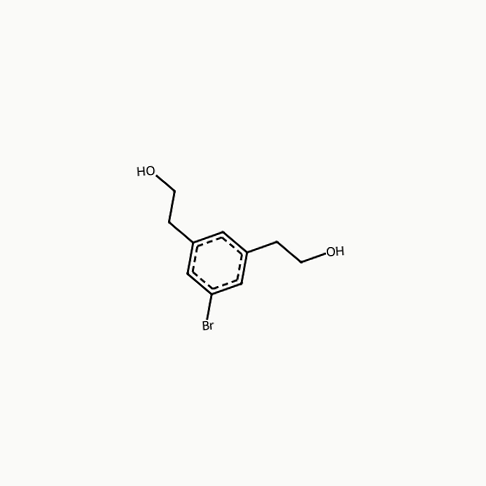 OCCc1cc(Br)cc(CCO)c1